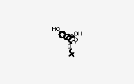 CC(C)(C)CCOC(=O)C1C2CC(=O)C(c3cc(O)ccc32)C1C(=O)O